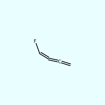 C=C=C=CF